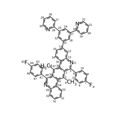 Cc1c2c(-c3ccc(F)cc3)nc3cc(-c4cc(-c5ccccn5)cc(-c5ccccn5)c4)ccc3c2c(C)c2c(-c3ccc(F)cc3)nc3ccccc3c12